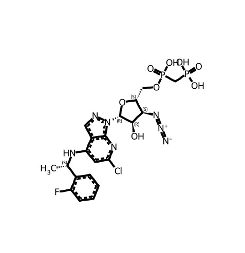 C[C@H](Nc1cc(Cl)nc2c1cnn2[C@@H]1O[C@H](COP(=O)(O)CP(=O)(O)O)[C@@H](N=[N+]=[N-])[C@H]1O)c1ccccc1F